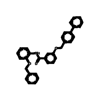 O=C(Nc1ccccc1OCc1ccccc1)c1cccc(OCc2ccc(-c3ccccc3)cc2)c1